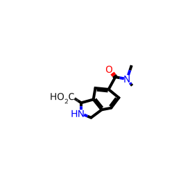 CN(C)C(=O)c1ccc2c(c1)C(C(=O)O)NC2